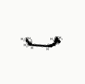 CC(=O)c1c(C)c2cnc(Nc3ccc(N4CCN(CC(=O)NCCOCCOCCOCCOCCOCCNc5ccc(C(=O)Nc6ncc(C(C)C)s6)c(C)c5)CC4)cn3)nc2n(C2CCCC2)c1=O